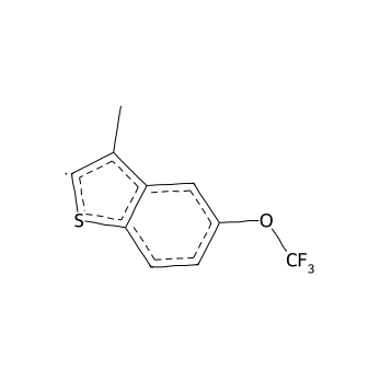 Cc1[c]sc2ccc(OC(F)(F)F)cc12